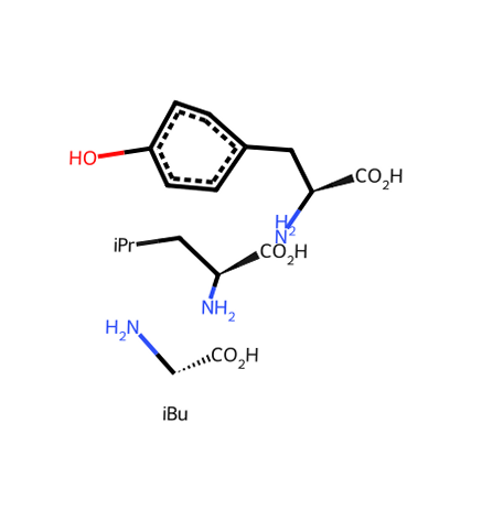 CC(C)C[C@H](N)C(=O)O.CC[C@H](C)[C@H](N)C(=O)O.N[C@@H](Cc1ccc(O)cc1)C(=O)O